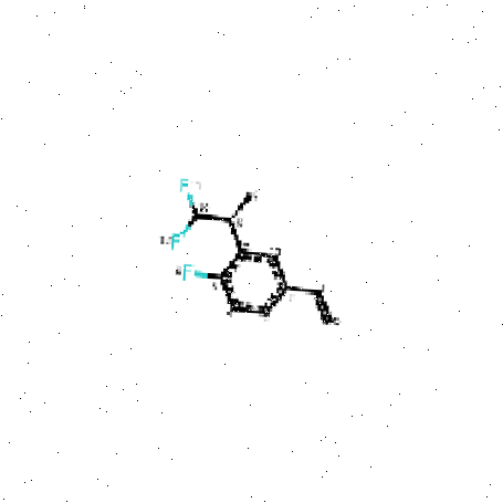 C=Cc1ccc(F)c([C@H](C)C(F)F)c1